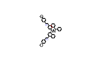 COc1ccc(/C=C/c2ccc(N(N=C(c3ccccc3)c3ccccc3)c3ccc(/C=C/c4ccc(OC)cc4)c4ccccc34)cc2)cc1